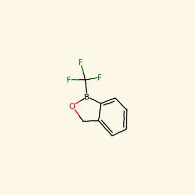 FC(F)(F)B1OCc2ccccc21